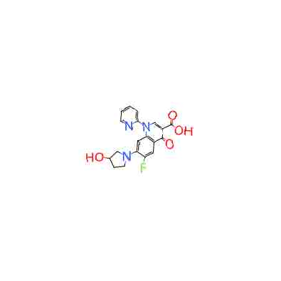 O=C(O)c1cn(-c2ccccn2)c2cc(N3CCC(O)C3)c(F)cc2c1=O